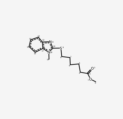 COC(=O)CCCCCSc1nc2ccccc2n1C